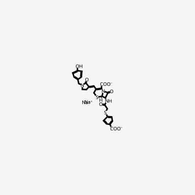 O=C(CSc1ccc(C(=O)[O-])cc1)N[C@@H]1C(=O)N2C(C(=O)[O-])=C(/C=C3\CCN(Cc4ccc(O)cc4)C3=O)CS[C@H]12.[Na+].[Na+]